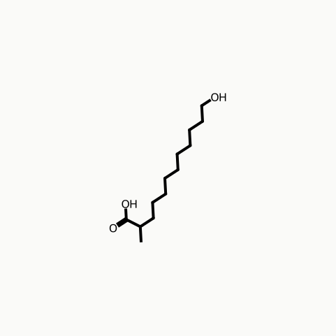 CC(CCCCCCCCCCO)C(=O)O